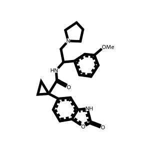 COc1cccc(C(CN2CCCC2)NC(=O)C2(c3ccc4oc(=O)[nH]c4c3)CC2)c1